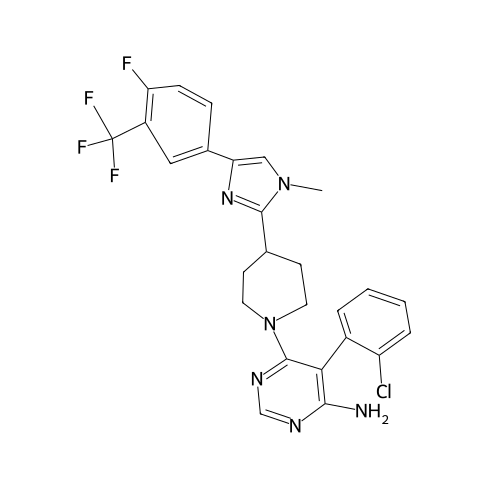 Cn1cc(-c2ccc(F)c(C(F)(F)F)c2)nc1C1CCN(c2ncnc(N)c2-c2ccccc2Cl)CC1